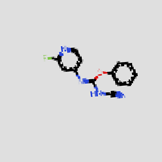 N#CN/C(=N/c1ccnc(F)c1)Oc1ccccc1